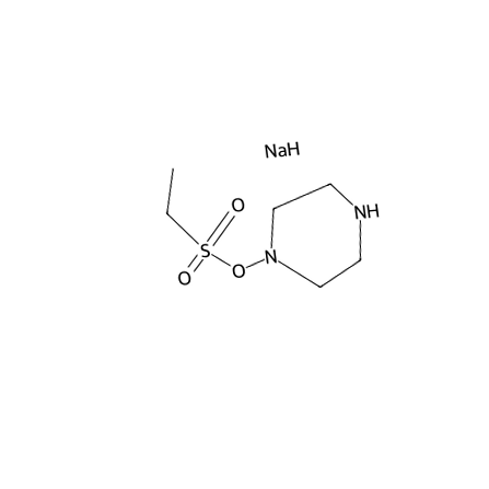 CCS(=O)(=O)ON1CCNCC1.[NaH]